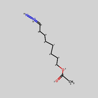 CC(=O)OCCCCCCCC=[N+]=[N-]